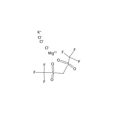 O=S(=O)(CS(=O)(=O)C(F)(F)F)C(F)(F)F.[Cl-].[Cl-].[Cl-].[K+].[Mg+2]